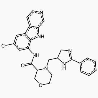 O=C(Nc1cc(Cl)cc2c1[nH]c1cnccc12)C1COCCN1CC1CN=C(c2ccccc2)N1